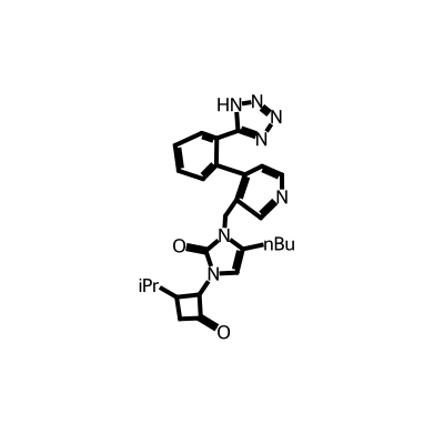 CCCCc1cn(C2C(=O)CC2C(C)C)c(=O)n1Cc1cnccc1-c1ccccc1-c1nnn[nH]1